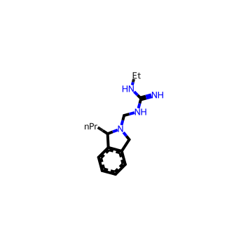 CCCC1c2ccccc2CN1CNC(=N)NCC